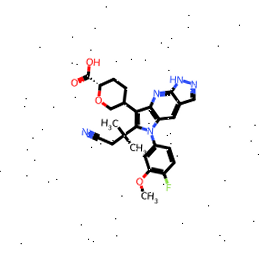 COc1cc(-n2c(C(C)(C)CC#N)c(C3CC[C@@H](C(=O)O)OC3)c3nc4[nH]ncc4cc32)ccc1F